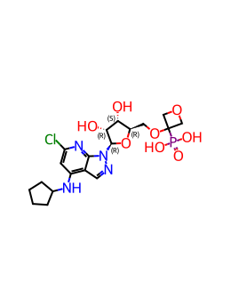 O=P(O)(O)C1(OC[C@H]2O[C@@H](n3ncc4c(NC5CCCC5)cc(Cl)nc43)[C@H](O)[C@@H]2O)COC1